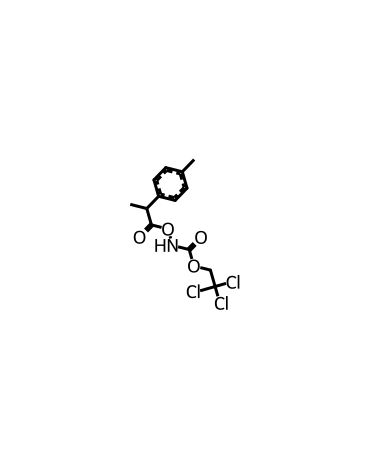 Cc1ccc(C(C)C(=O)ONC(=O)OCC(Cl)(Cl)Cl)cc1